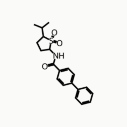 CC(C)C1CCC(NC(=O)c2ccc(-c3ccccc3)cc2)S1(=O)=O